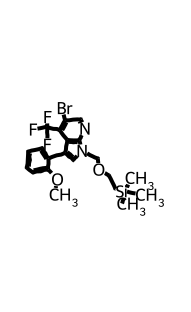 COc1ccccc1-c1cn(COCC[Si](C)(C)C)c2ncc(Br)c(C(F)(F)F)c12